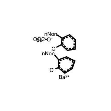 CCCCCCCCCc1ccccc1[O-].CCCCCCCCCc1ccccc1[O-].O=C([O-])[O-].[Ba+2].[Ba+2]